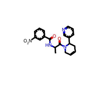 CC(NC(=O)c1cccc([N+](=O)[O-])c1)C(=O)N1CC=CCC1c1cccnc1